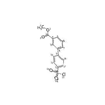 COC(=O)c1cccc(-c2ccc(S(=O)(=O)Cl)cc2)c1